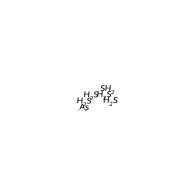 S.S.S.S.S.[As]